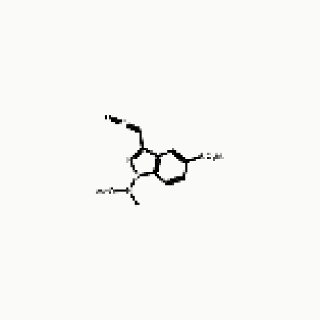 CCOC(=O)c1ccc2c(c1)c(C=C=O)nn2N(C)OC